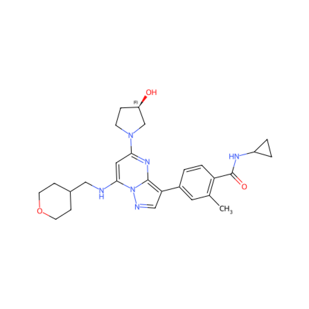 Cc1cc(-c2cnn3c(NCC4CCOCC4)cc(N4CC[C@@H](O)C4)nc23)ccc1C(=O)NC1CC1